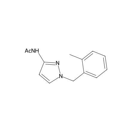 CC(=O)Nc1ccn(Cc2ccccc2C)n1